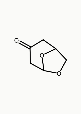 O=C1CC2COC(C1)O2